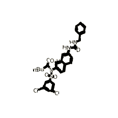 CCCCC(C(=O)O)N(c1ccc2ccc(NC(=O)NCc3ccccc3)cc2c1)S(=O)(=O)c1cc(Cl)cc(Cl)c1